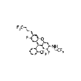 Fc1cc2c(cc1NCC(F)(F)F)Oc1c/c(=C/CCC(F)(F)F)c(F)cc1=C2c1ccccc1C(F)(F)F